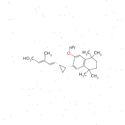 CCCOc1cc2c(cc1[C@@H]1C[C@@H]1/C=C/C(C)=C/C(=O)O)C(C)(C)CCC2(C)C